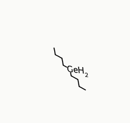 CCC[CH2][GeH2][CH2]CCC